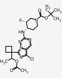 CC(=O)OC(C)C1(c2nc(Cl)c3cnc(N[C@H]4CCN(C(=O)OC(C)(C)C)C[C@H]4F)nn23)CCC1